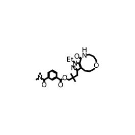 CCn1nc(CC(C)(C)COC(=O)c2cccc(C(=O)N(C)C)c2)c2c1C(=O)NCCCOCCC2